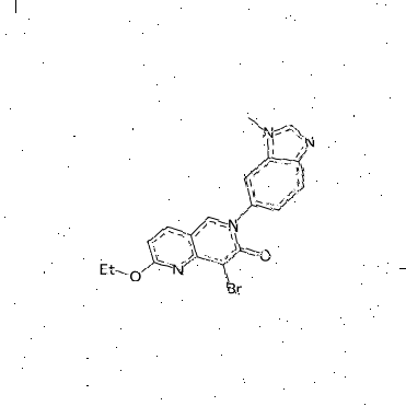 CCOc1ccc2cn(-c3ccc4ncn(C)c4c3)c(=O)c(Br)c2n1